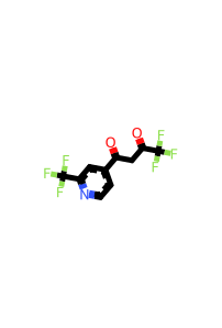 O=C(CC(=O)C(F)(F)F)c1ccnc(C(F)(F)F)c1